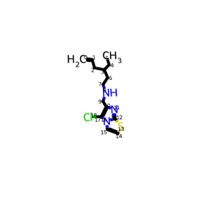 C=CCC(CC)CCNCc1nc2sccn2c1Cl